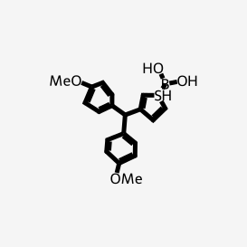 COc1ccc(C(C2=C[SH](B(O)O)C=C2)c2ccc(OC)cc2)cc1